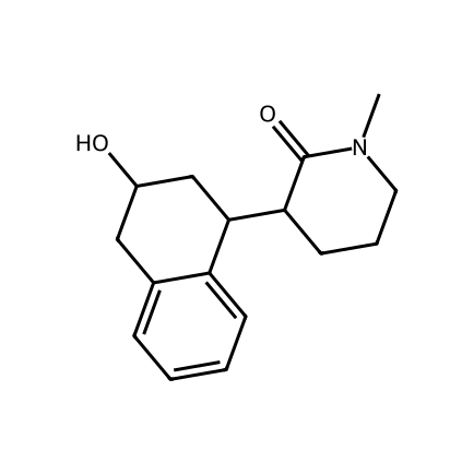 CN1CCCC(C2CC(O)Cc3ccccc32)C1=O